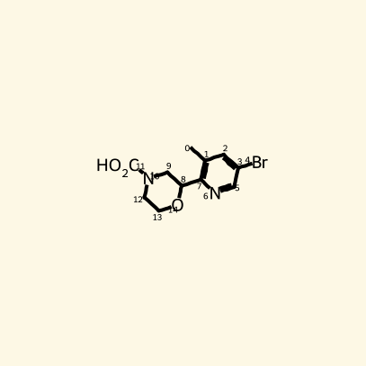 Cc1cc(Br)cnc1C1CN(C(=O)O)CCO1